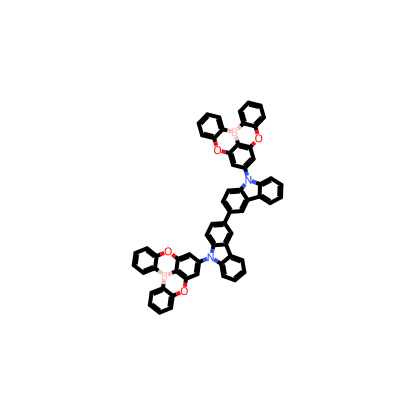 c1ccc2c(c1)Oc1cc(-n3c4ccccc4c4cc(-c5ccc6c(c5)c5ccccc5n6-c5cc6c7c(c5)Oc5ccccc5B7c5ccccc5O6)ccc43)cc3c1B2c1ccccc1O3